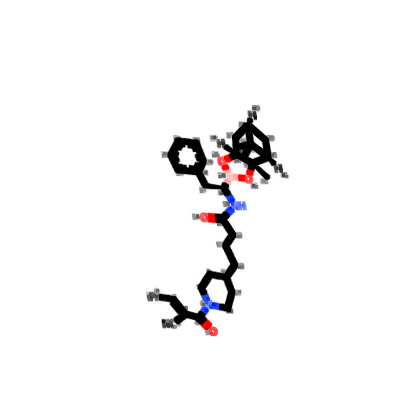 CC(C)C=C(C#N)C(=O)N1CCC(CCCC(=O)N[C@@H](Cc2ccccc2)B2O[C@@H]3C[C@@H]4C[C@@H](C4(C)C)[C@]3(C)O2)CC1